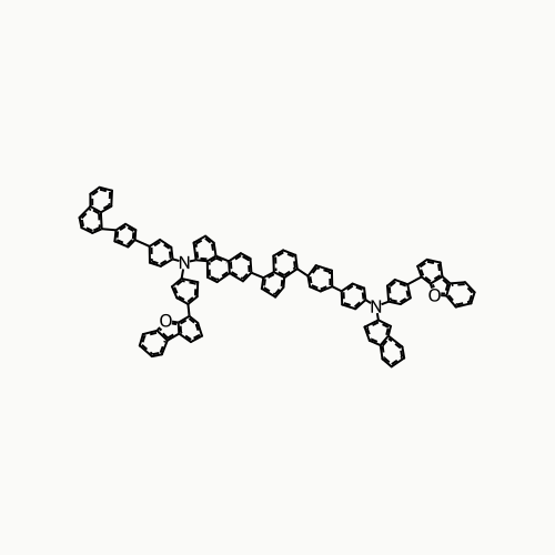 c1ccc2cc(N(c3ccc(-c4ccc(-c5cccc6c(-c7ccc8c(ccc9c(N(c%10ccc(-c%11ccc(-c%12cccc%13ccccc%12%13)cc%11)cc%10)c%10ccc(-c%11cccc%12c%11oc%11ccccc%11%12)cc%10)cccc98)c7)cccc56)cc4)cc3)c3ccc(-c4cccc5c4oc4ccccc45)cc3)ccc2c1